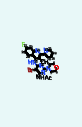 CC(=O)Nc1nc(N2CCOCC2)nc(Nc2c(C)c(-c3ccccn3)nc3cc(F)ccc23)c1Br